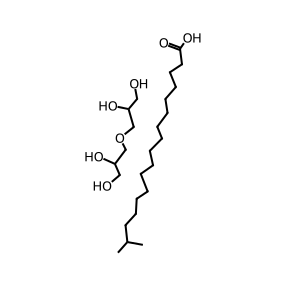 CC(C)CCCCCCCCCCCCCCC(=O)O.OCC(O)COCC(O)CO